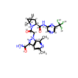 Cc1cc2c(C(N)=O)nn(CC(=O)N3[C@@H]4C[C@@H]4C[C@H]3C(=O)Nc3cncc(C(F)(F)F)n3)c2c(C)n1